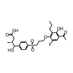 CCCc1c(O)c(C(C)=O)cc(F)c1OCCCS(=O)(=O)c1ccc(C(O)[C@@H](C)CC(=O)O)cc1